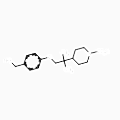 CC(C)(COc1ccc(CO)cc1)C1CCN(C(=O)O)CC1